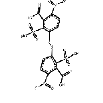 O=C(O)c1c([N+](=O)[O-])ccc(SSc2ccc([N+](=O)[O-])c(C(=O)O)c2S(=O)(=O)O)c1S(=O)(=O)O